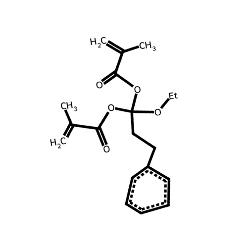 C=C(C)C(=O)OC(CCc1ccccc1)(OCC)OC(=O)C(=C)C